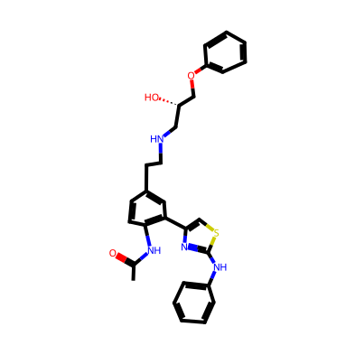 CC(=O)Nc1ccc(CCNC[C@H](O)COc2ccccc2)cc1-c1csc(Nc2ccccc2)n1